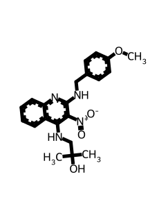 COc1ccc(CNc2nc3ccccc3c(NCC(C)(C)O)c2[N+](=O)[O-])cc1